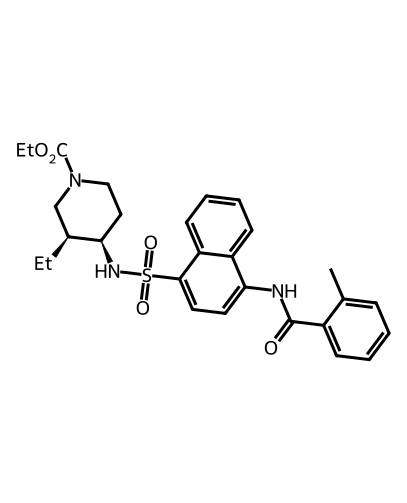 CCOC(=O)N1CC[C@@H](NS(=O)(=O)c2ccc(NC(=O)c3ccccc3C)c3ccccc23)[C@@H](CC)C1